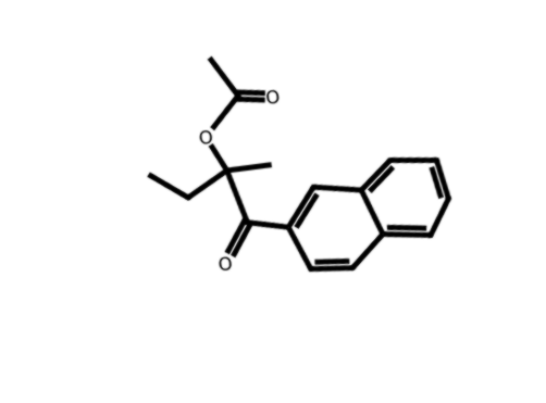 CCC(C)(OC(C)=O)C(=O)c1ccc2ccccc2c1